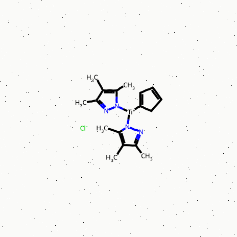 Cc1n[n]([Ti+]([C]2=CC=CC2)[n]2nc(C)c(C)c2C)c(C)c1C.[Cl-]